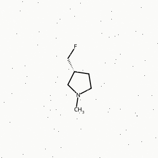 CN1CC[C@@H](CF)C1